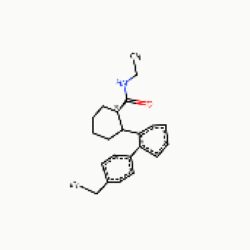 CC(C)Cc1ccc(-c2ccccc2C2CCCC[C@H]2C(=O)NCC#N)cc1